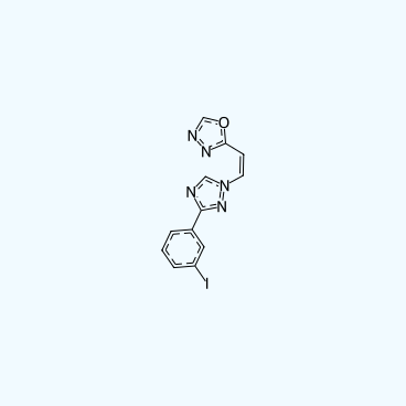 Ic1cccc(-c2ncn(/C=C\c3nnco3)n2)c1